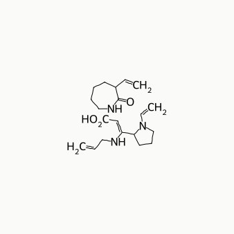 C=CC1CCCCNC1=O.C=CCNC(=CC(=O)O)C1CCCN1C=C